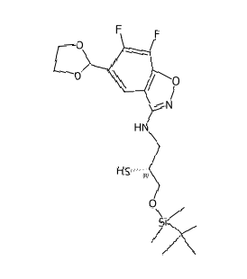 CC(C)(C)[Si](C)(C)OC[C@H](S)CNc1noc2c(F)c(F)c(C3OCCO3)cc12